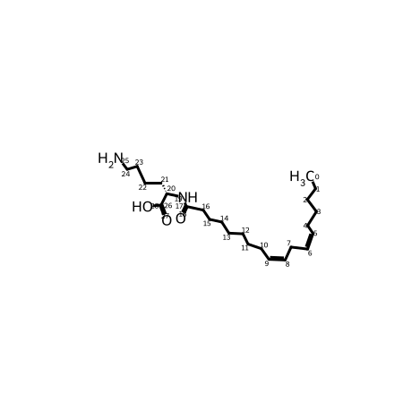 CCCCC/C=C\C/C=C\CCCCCCCC(=O)N[C@@H](CCCCN)C(=O)O